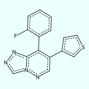 Fc1ccccc1-c1c(-c2ccsc2)cnn2cnnc12